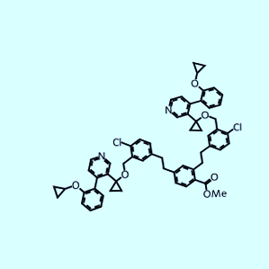 COC(=O)c1ccc(CCc2ccc(Cl)c(COC3(c4cnccc4-c4ccccc4OC4CC4)CC3)c2)cc1CCc1ccc(Cl)c(COC2(c3cnccc3-c3ccccc3OC3CC3)CC2)c1